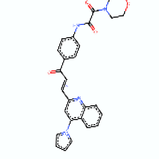 O=C(Nc1ccc(C(=O)/C=C/c2cc(-n3cccc3)c3ccccc3n2)cc1)C(=O)N1CCOCC1